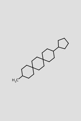 CC1CCC2(CC1)CCC1(CCC(C3CCCC3)CC1)CC2